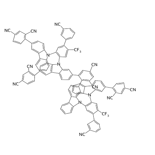 N#Cc1cccc(-c2cc(-n3c4ccccc4c4ccc(-c5c(C#N)cc(C#N)cc5-c5ccc6c7cc(-c8ccc(C#N)cc8C#N)ccc7n(-c7cc(C(F)(F)F)c(-c8cccc(C#N)c8)cc7-n7c8ccccc8c8cc(-c9ccc(C#N)cc9C#N)ccc87)c6c5)cc43)c(-n3c4ccccc4c4ccc(-c5ccc(C#N)cc5C#N)cc43)cc2C(F)(F)F)c1